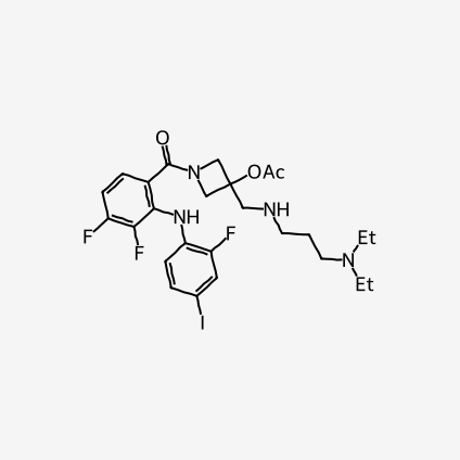 CCN(CC)CCCNCC1(OC(C)=O)CN(C(=O)c2ccc(F)c(F)c2Nc2ccc(I)cc2F)C1